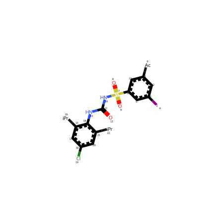 CC(=O)c1cc(I)cc(S(=O)(=O)NC(=O)Nc2c(C(C)C)cc(Cl)cc2C(C)C)c1